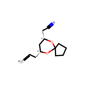 C=CC[C@@H]1C[C@H](CC#N)OC2(CCCC2)O1